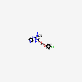 N#CN/C(=N/c1ccncc1)NCCOCCOc1ccc(Cl)cc1